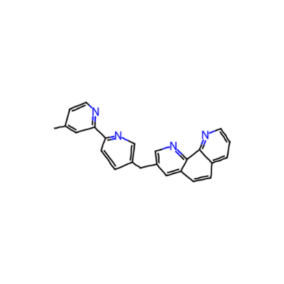 Cc1ccnc(-c2ccc(Cc3cnc4c(ccc5cccnc54)c3)cn2)c1